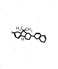 CC1(C)C2CC(I)=CC=C2[C@@H]2CCC(C3C=CC4=C(CCC=C4)C3)CC21